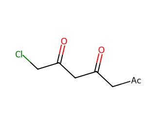 CC(=O)CC(=O)CC(=O)CCl